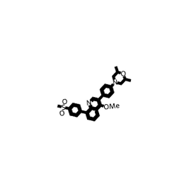 COc1c(-c2ccc(N3CC(C)OC(C)C3)cc2)cnc2c(-c3ccc(S(C)(=O)=O)cc3)cccc12